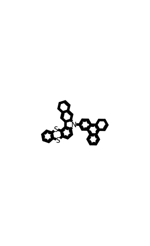 C1=CC2=CC3C(C=C2CC1)c1c(ccc2c1Sc1ccccc1S2)N3c1ccc2c3c(c4ccccc4c2c1)C=CCC3